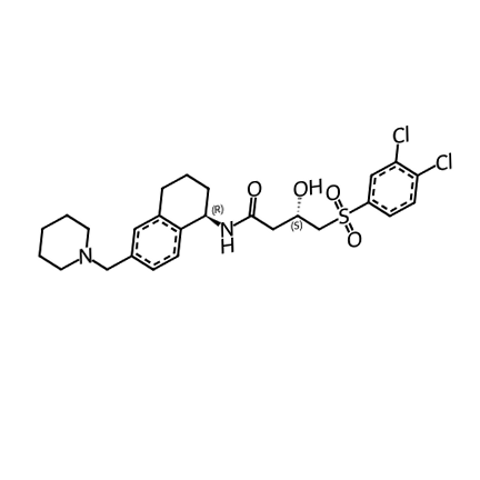 O=C(C[C@H](O)CS(=O)(=O)c1ccc(Cl)c(Cl)c1)N[C@@H]1CCCc2cc(CN3CCCCC3)ccc21